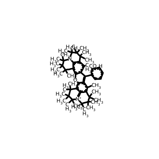 Cc1c2c(c3c4c1C(C)(C)C(C)(C)C(C)(C)N4C(C)(C)C(C)(C)C3(C)C)Oc1c3c4c(c(C)c1=C2c1ccccc1C(=O)O)C(C)(C)C(C)(C)C(C)(C)[N+]=4C(C)(C)C(C)(C)C3(C)C